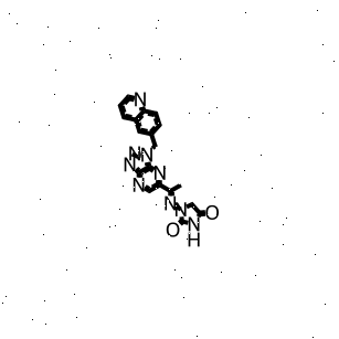 C/C(=N\N1CC(=O)NC1=O)c1cnc2nnn(Cc3ccc4ncccc4c3)c2n1